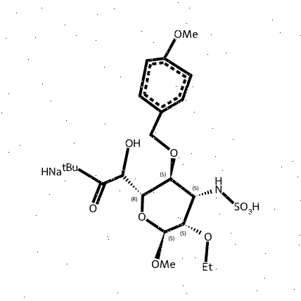 CCO[C@@H]1[C@@H](OC)O[C@H](C(O)C(=O)C(C)(C)C)[C@@H](OCc2ccc(OC)cc2)[C@@H]1NS(=O)(=O)O.[NaH]